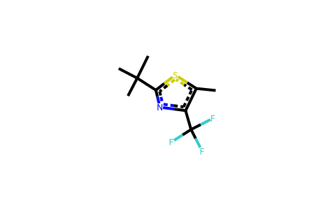 Cc1sc(C(C)(C)C)nc1C(F)(F)F